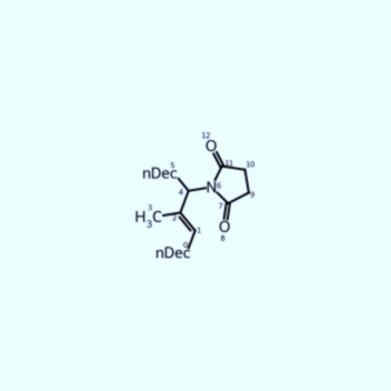 CCCCCCCCCCC=C(C)C(CCCCCCCCCC)N1C(=O)CCC1=O